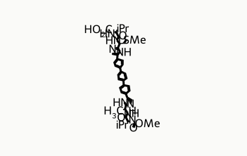 COC(=O)N[C@H](C(=O)N[C@@H](C)c1ncc(-c2ccc(-c3ccc(-c4ccc(-c5cnc([C@H](CSC)NC(=O)[C@@H](NC(=O)O)C(C)C)[nH]5)cc4)cc3)cc2)[nH]1)C(C)C